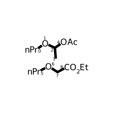 CCCOC(C)OC(C)=O.CCCOCC(=O)OCC